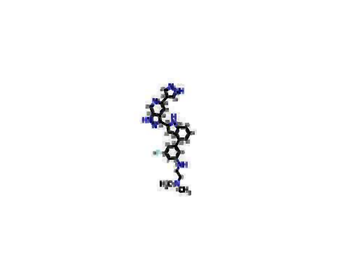 CN(C)CCNc1cc(F)cc(-c2cccc3[nH]c(-c4n[nH]c5cnc(-c6cn[nH]c6)cc45)cc23)c1